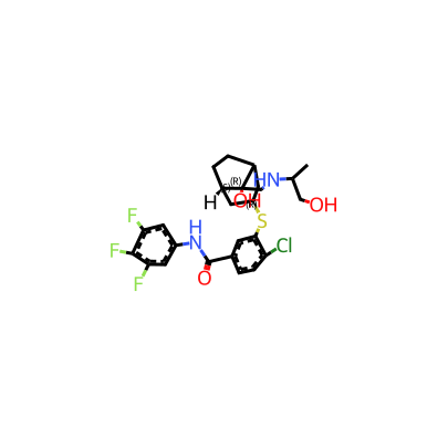 CC(CO)NC[C@@]1(O)C2CC[C@H]1C[C@H](Sc1cc(C(=O)Nc3cc(F)c(F)c(F)c3)ccc1Cl)C2